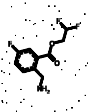 NCc1ccc(F)cc1C(=O)OCC(F)F